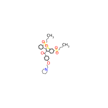 CCCCS(=O)(=O)c1ccc2c(C(=O)c3ccc(OCCN4CCCCC4)cc3)c(-c3ccccc3S(=O)(=O)CCCC)sc2c1